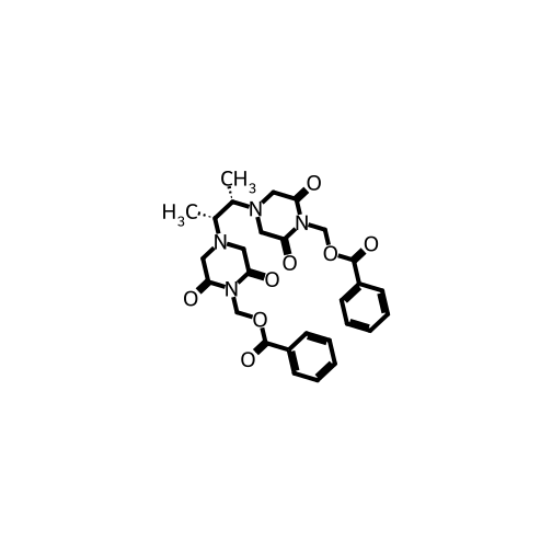 C[C@H]([C@H](C)N1CC(=O)N(COC(=O)c2ccccc2)C(=O)C1)N1CC(=O)N(COC(=O)c2ccccc2)C(=O)C1